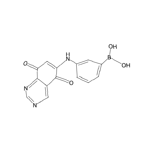 O=C1C(Nc2cccc(B(O)O)c2)=CC(=O)c2ncncc21